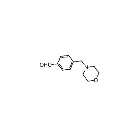 O=[C]c1ccc(CN2CCOCC2)cc1